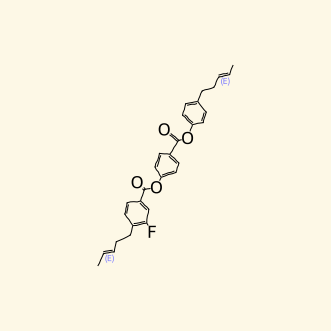 C/C=C/CCc1ccc(OC(=O)c2ccc(OC(=O)c3ccc(CC/C=C/C)c(F)c3)cc2)cc1